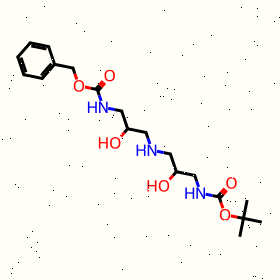 CC(C)(C)OC(=O)NCC(O)CNCC(O)CNC(=O)OCc1ccccc1